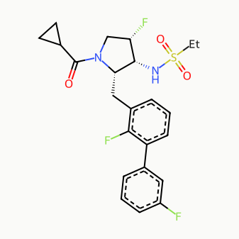 CCS(=O)(=O)N[C@H]1[C@@H](F)CN(C(=O)C2CC2)[C@H]1Cc1cccc(-c2cccc(F)c2)c1F